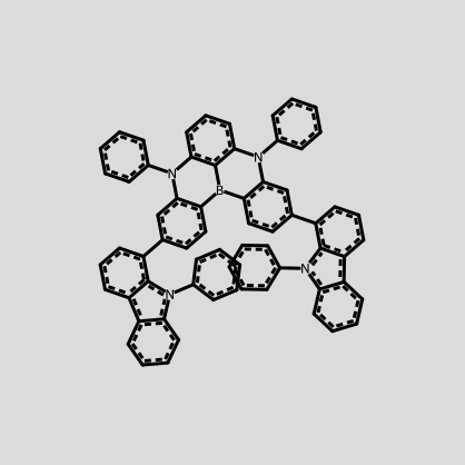 c1ccc(N2c3cc(-c4cccc5c6ccccc6n(-c6ccccc6)c45)ccc3B3c4ccc(-c5cccc6c7ccccc7n(-c7ccccc7)c56)cc4N(c4ccccc4)c4cccc2c43)cc1